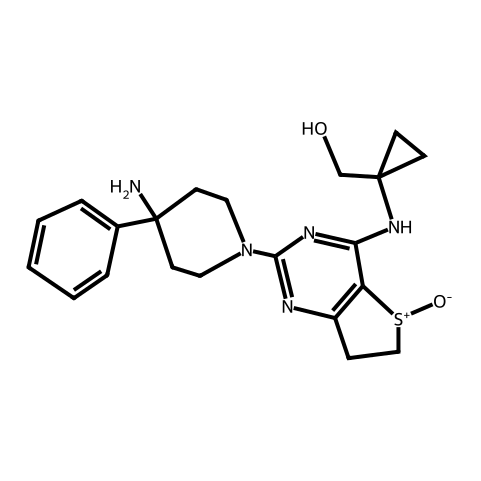 NC1(c2ccccc2)CCN(c2nc3c(c(NC4(CO)CC4)n2)[S+]([O-])CC3)CC1